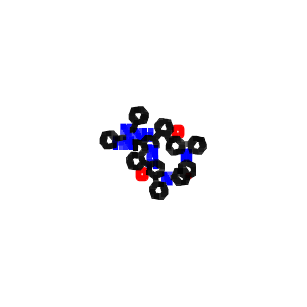 CC1(C2=C(C3=CC=CC4OC5C6=C(C=CC5C34)N(c3ccccc3)C3=CC=CCC36)NCC(c3cccc4oc5c(c34)CCC3=C5C4=CC=CCC4N3C3CCCCC3)C2)NC(c2c#cccc2)=NC(C2=CC=CCC2)N1